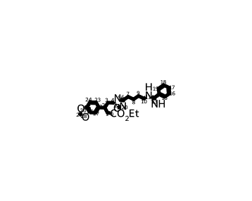 CCOC(=O)CC(Cc1nc(CCCCNC(=N)c2ccccc2)no1)c1ccc2c(c1)OCO2